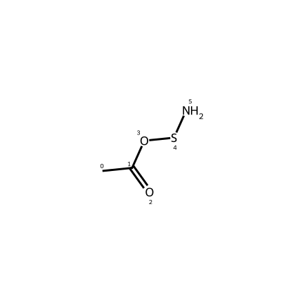 CC(=O)OSN